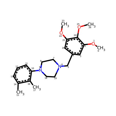 COc1cc(CN2CCN(c3cccc(C)c3C)CC2)cc(OC)c1OC